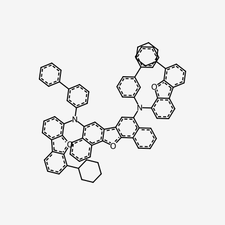 c1ccc(-c2cccc(N(c3cc4c5cc(N(c6cccc(-c7ccccc7)c6)c6cccc7c6oc6c(C8CCCCC8)cccc67)c6ccccc6c5oc4c4ccccc34)c3cccc4c3oc3c(C5CCCCC5)cccc34)c2)cc1